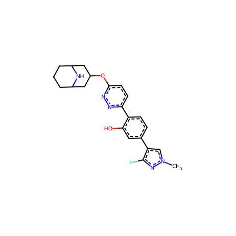 Cn1cc(-c2ccc(-c3ccc(OC4CC5CCCC(C4)N5)nn3)c(O)c2)c(F)n1